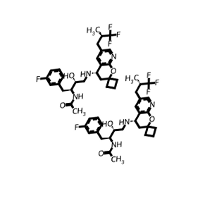 CC(=O)N[C@@H](Cc1cccc(F)c1)[C@H](O)CN[C@H]1CC2(CCC2)Oc2ncc(C[C@@H](C)C(F)(F)F)cc21.CC(=O)N[C@@H](Cc1cccc(F)c1)[C@H](O)CN[C@H]1CC2(CCC2)Oc2ncc(C[C@H](C)C(F)(F)F)cc21